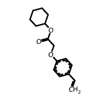 C=Cc1ccc(OCC(=O)OC2CCCCC2)cc1